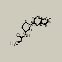 C=CC(=O)NC1CCCN(c2cnc3[nH]ccc3n2)C1